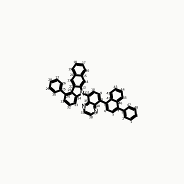 c1ccc(-c2ccc(-c3ccc(-n4c5cc6ccccc6cc5c5c(-c6ccccc6)cccc54)c4nccnc34)c3ccccc23)cc1